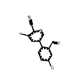 N#Cc1ncc(-c2ccc(Cl)cc2C=O)cc1F